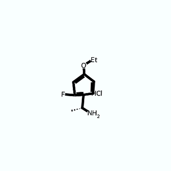 CCOc1ccc([C@@H](C)N)c(F)c1.Cl